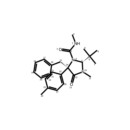 CNC(=O)N1[C@H](C(C)(C)C)N(C)C(=O)[C@@]1(Cc1ccccc1)c1ccc(C)cc1